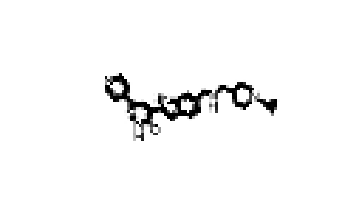 O=c1[nH]nc(-c2ccncc2)cc1-c1cc2ccc(CNCC3CCN(C4CC4)CC3)cc2[nH]1